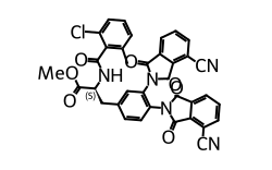 COC(=O)[C@H](Cc1ccc(N2C(=O)c3cccc(C#N)c3C2=O)c(N2C(=O)c3cccc(C#N)c3C2=O)c1)NC(=O)c1c(C)cccc1Cl